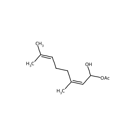 CC(=O)OC(O)/C=C(/C)CCC=C(C)C